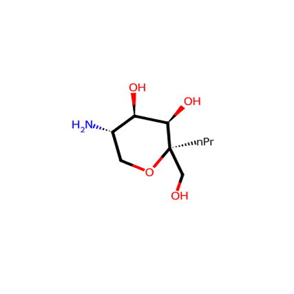 CCC[C@]1(CO)OC[C@H](N)[C@@H](O)[C@H]1O